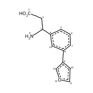 NC(CC(=O)O)c1cccc(-c2ccoc2)c1